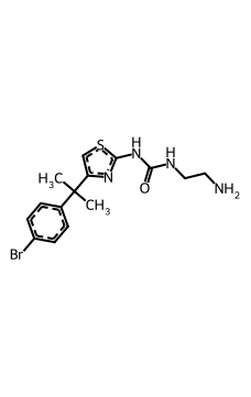 CC(C)(c1ccc(Br)cc1)c1csc(NC(=O)NCCN)n1